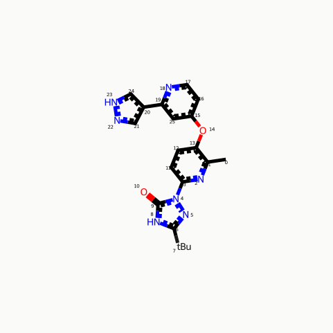 Cc1nc(-n2nc(C(C)(C)C)[nH]c2=O)ccc1Oc1ccnc(-c2cn[nH]c2)c1